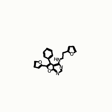 c1ccc(-c2c(-c3ccco3)oc3ncnc(NCCc4ccco4)c23)cc1